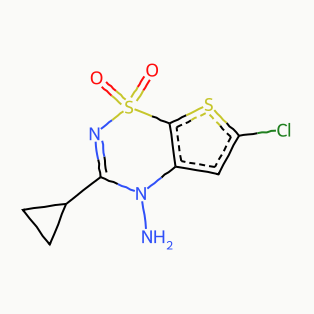 NN1C(C2CC2)=NS(=O)(=O)c2sc(Cl)cc21